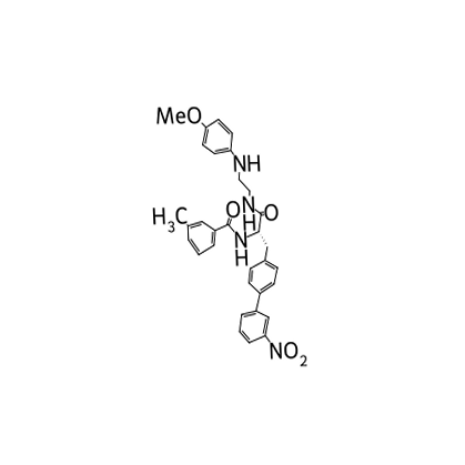 COc1ccc(NCCNC(=O)[C@H](Cc2ccc(-c3cccc([N+](=O)[O-])c3)cc2)NC(=O)c2cccc(C)c2)cc1